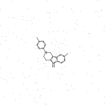 Cc1ccc(N2CCc3[nH]c4ccc(C)cc4c3C2)cc1